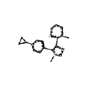 Cc1cccnc1-c1ncn(C)c1-c1ccc(C2CC2)cc1